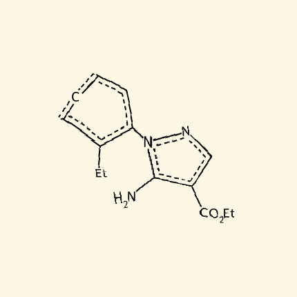 CCOC(=O)c1cnn(-c2ccccc2CC)c1N